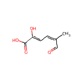 CC(C=O)=CC=C(O)C(=O)O